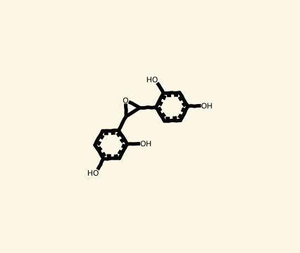 Oc1ccc(C2OC2c2ccc(O)cc2O)c(O)c1